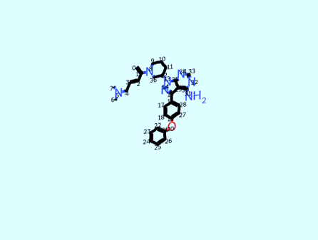 C=C(/C=C/CN(C)C)N1CCCC(n2nc(-c3ccc(Oc4ccccc4)cc3)c3c(N)ncnc32)C1